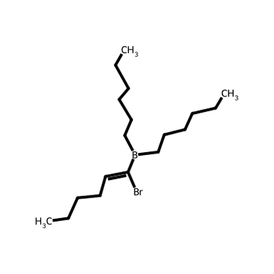 CCCC/C=C(\Br)B(CCCCCC)CCCCCC